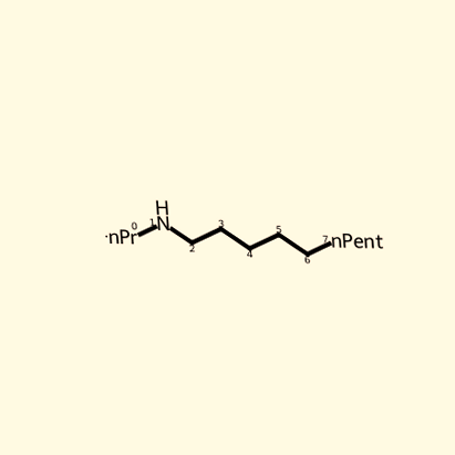 CC[CH]NCCCCCCCCCC